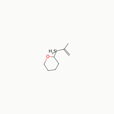 C=C(C)[SiH2]C1CCCCO1